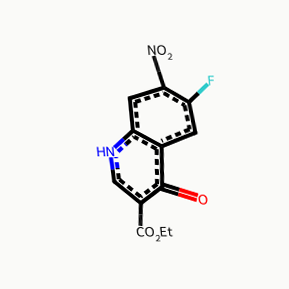 CCOC(=O)c1c[nH]c2cc([N+](=O)[O-])c(F)cc2c1=O